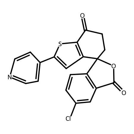 O=C1OC2(CCC(=O)c3sc(-c4ccncc4)cc32)c2ccc(Cl)cc21